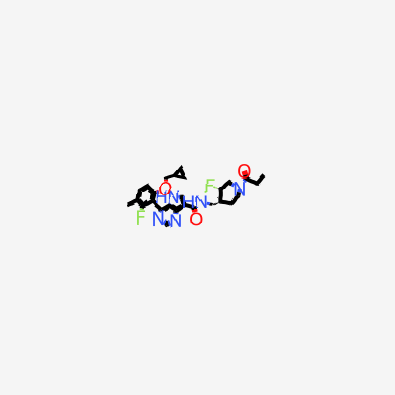 CCC(=O)N1CC[C@H](CNC(=O)c2c[nH]c3c(-c4c(OCC5CC5)ccc(C)c4F)ncnc23)[C@H](F)C1